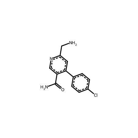 NCc1cc(-c2ccc(Cl)cc2)c(C(N)=O)cn1